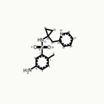 Cc1ccc(N)cc1S(=O)(=O)NC1(Cc2ccccn2)CC1